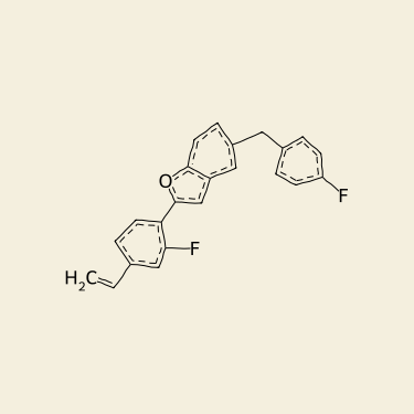 C=Cc1ccc(-c2cc3cc(Cc4ccc(F)cc4)ccc3o2)c(F)c1